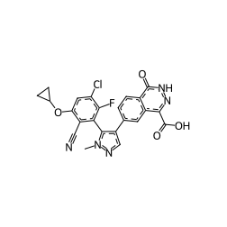 Cn1ncc(-c2ccc3c(=O)[nH]nc(C(=O)O)c3c2)c1-c1c(F)c(Cl)cc(OC2CC2)c1C#N